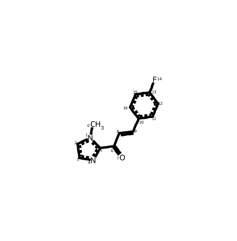 Cn1ccnc1C(=O)C=Cc1ccc(F)cc1